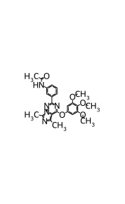 COc1cc(Oc2nc(-c3cccc(NC(C)=O)c3)nn3c(C)nc(C)c23)cc(OC)c1OC